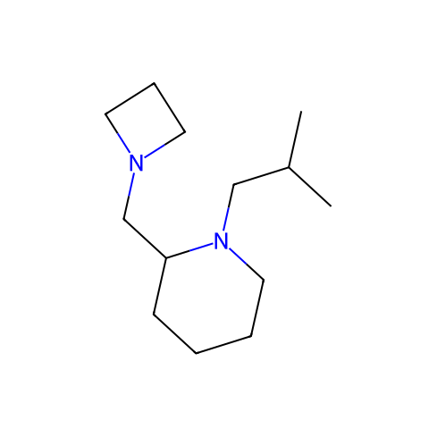 CC(C)CN1CCCCC1CN1CCC1